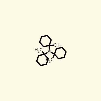 C[C]1([Al]([C]2(C)CCCCC2)[C]2(C)CCCCC2)CCCCC1